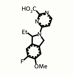 CCC1c2cc(F)c(OC)cc2CN1c1ccnc(C(=O)O)n1